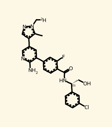 [2H]Cn1ncc(-c2cnc(N)c(-c3ccc(C(=O)N[C@H](CO)c4cccc(Cl)c4)c(F)c3)c2)c1C